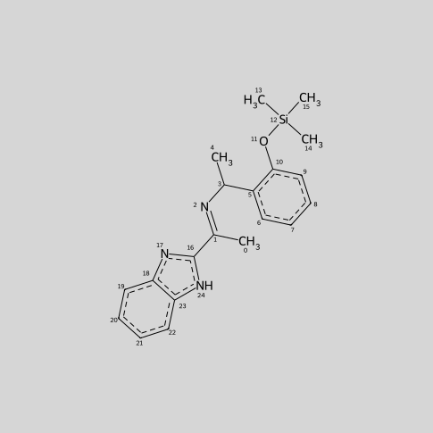 CC(=NC(C)c1ccccc1O[Si](C)(C)C)c1nc2ccccc2[nH]1